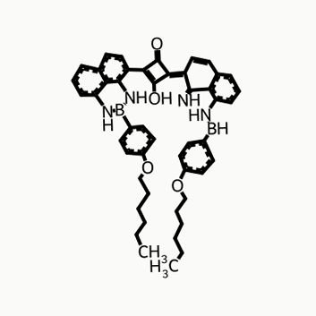 CCCCCCOc1ccc(BNc2cccc3c2C(=N)/C(=C2/C(=O)C(c4ccc5cccc6c5c4NB(c4ccc(OCCCCCC)cc4)N6)=C2O)C=C3)cc1